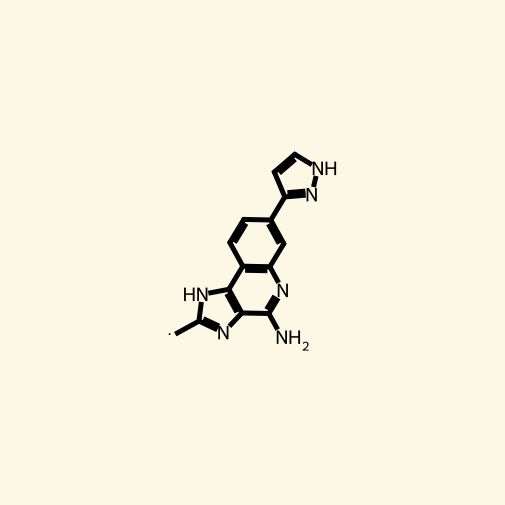 [CH2]c1nc2c(N)nc3cc(-c4cc[nH]n4)ccc3c2[nH]1